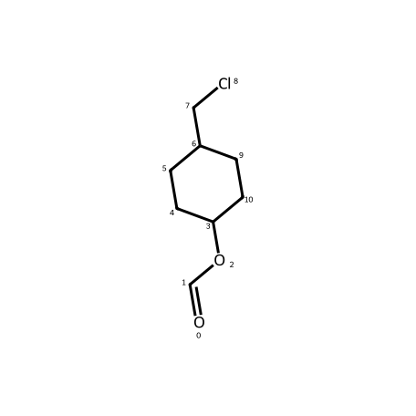 O=COC1CCC(CCl)CC1